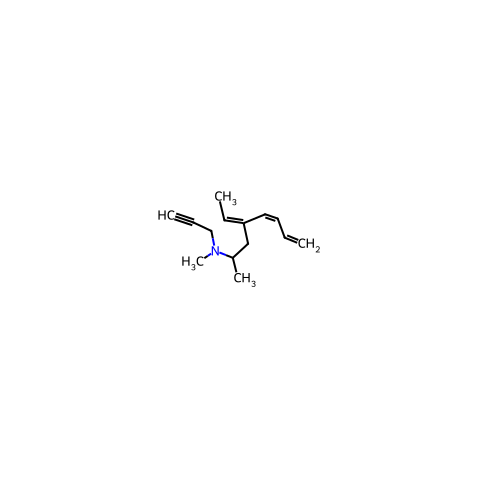 C#CCN(C)C(C)CC(/C=C\C=C)=C/C